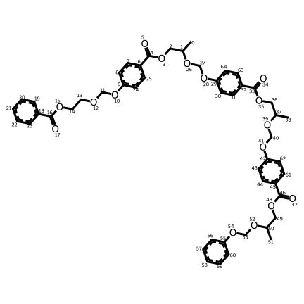 CC(COC(=O)c1ccc(OCOCCOC(=O)c2ccccc2)cc1)OCOc1ccc(C(=O)OCC(C)OCOc2ccc(C(=O)OCC(C)OCOc3ccccc3)cc2)cc1